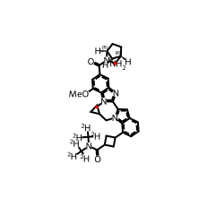 [2H]C([2H])([2H])N(C(=O)C1CC(c2cccc3cc(-c4nc5cc(C(=O)N6C[C@H]7CC[C@@H]6[C@@H]7N)cc(OC)c5n4C)n(CC4CC4)c23)C1)C([2H])([2H])[2H]